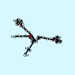 CC(=O)N[C@H]1[C@@H]2OC[C@](COCCOCCOCCOCCn3cc(COCC(COCc4cn(CCOCCOCCOCCO)nn4)(COCc4cn(CCOCCOCCOCCOC[C@@]56CO[C@@H](O5)[C@H](NC(C)=O)[C@@H](OC(C)=O)[C@H]6OC(C)=O)nn4)NC(=O)CCCCCNC(=O)CCCCCO)nn3)(O2)[C@H](OC(C)=O)[C@@H]1OC(C)=O